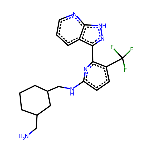 NCC1CCCC(CNc2ccc(C(F)(F)F)c(-c3n[nH]c4ncccc34)n2)C1